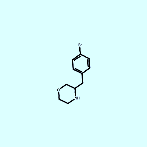 Brc1ccc(CC2COCCN2)cc1